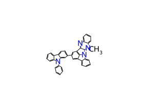 CN1c2ccccc2N=C2c3cc(-c4ccc5c6ccccc6n(-c6ccccc6)c5c4)cc4c5ccccc5n(c34)C21